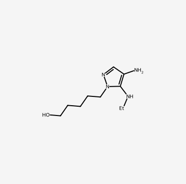 CCNc1c(N)cnn1CCCCCO